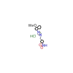 COc1ccc(N2CCN(CCc3ccc4[nH]c(=O)oc4c3)CC2)c2ccccc12.Cl